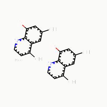 Cc1cc([O-])c2nccc(C)c2c1.Cc1cc([O-])c2nccc(C)c2c1.[Be+2]